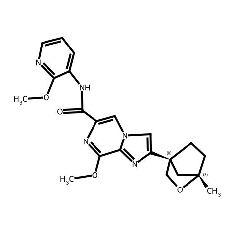 COc1ncccc1NC(=O)c1cn2cc([C@@]34CC[C@@](C)(C3)OC4)nc2c(OC)n1